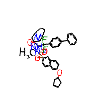 CN(C(C(=O)N1C2CCC1CC(N)C2)C(F)(F)c1ccc(-c2ccccc2)cc1)S(=O)(=O)c1ccc2cc(OC3CCCC3)ccc2c1